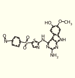 COc1cc2[nH]c3nc(N)nc(Nc4ncc(S(=O)(=O)c5ccc(N=O)cc5)s4)c3c2cc1O